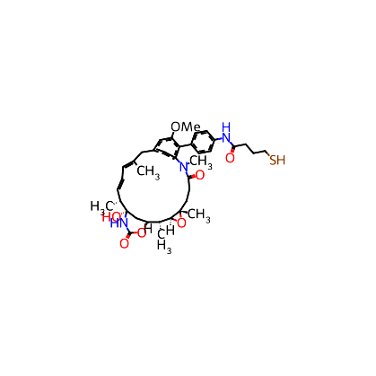 COc1cc2cc(c1-c1ccc(NC(=O)CCCS)cc1)N(C)C(=O)CC[C@]1(C)O[C@H]1[C@H](C)[C@@H]1C[C@@](O)(NC(=O)O1)[C@H](C)/C=C/C=C(\C)C2